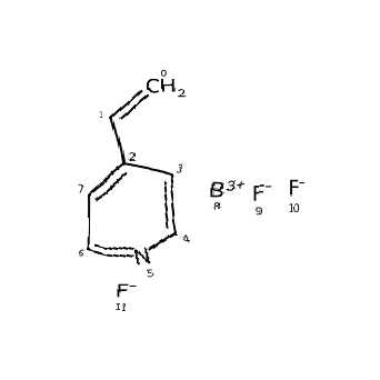 C=Cc1ccncc1.[B+3].[F-].[F-].[F-]